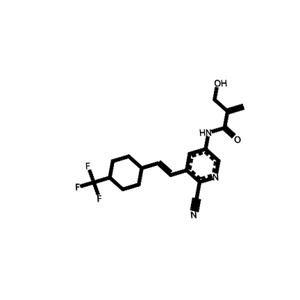 C=C(CO)C(=O)Nc1cnc(C#N)c(C=CC2CCC(C(F)(F)F)CC2)c1